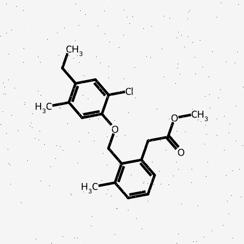 CCc1cc(Cl)c(OCc2c(C)cccc2CC(=O)OC)cc1C